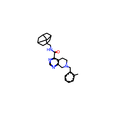 Cc1ccccc1CN1CCc2c(ncnc2C(=O)NCC23CC4CC(CC(C4)C2)C3)C1